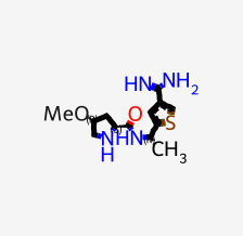 CO[C@H]1CN[C@H](C(=O)N[C@H](C)c2cc(C(=N)N)cs2)C1